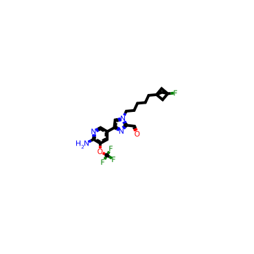 Nc1ncc(-c2cn(CCCCCC34CC(F)(C3)C4)c(C=O)n2)cc1OC(F)(F)F